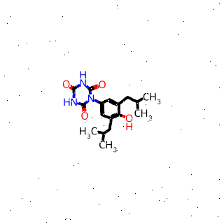 CC(C)Cc1cc(-n2c(=O)[nH]c(=O)[nH]c2=O)cc(CC(C)C)c1O